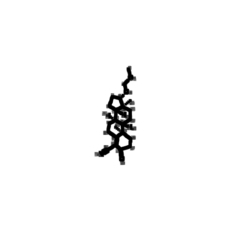 COCO[C@H]1CC[C@H]2[C@@H]3CCC4=C(C#N)C(=O)CC[C@]4(C)[C@H]3CC[C@]12C